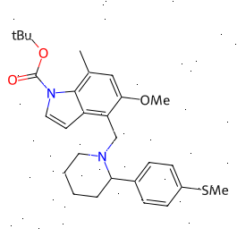 COc1cc(C)c2c(ccn2C(=O)OC(C)(C)C)c1CN1CCCCC1c1ccc(SC)cc1